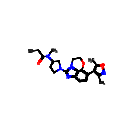 Cc1noc(C)c1-c1ccc2nc(N3CC[C@@H](N(C)C(=O)CC#N)C3)n3c2c1OCC3